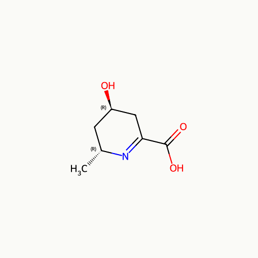 C[C@@H]1C[C@@H](O)CC(C(=O)O)=N1